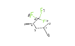 CC(C)C[C@@H](C)C(F)(F)F